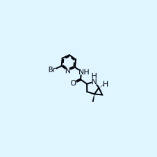 C[C@@]12CC(C(=O)Nc3cccc(Br)n3)N[C@H]1C2